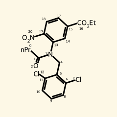 CCCC(=O)N(Cc1c(Cl)cccc1Cl)c1cc(C(=O)OCC)ccc1[N+](=O)[O-]